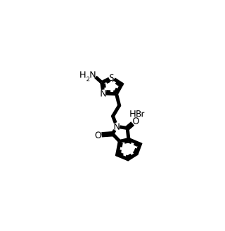 Br.Nc1nc(CCN2C(=O)c3ccccc3C2=O)cs1